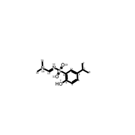 CC(C)c1ccc(O)c(S(=O)(=O)/N=C/N(C)C)c1